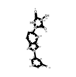 O=c1[nH]n(-c2ccc3nn(-c4cncc(F)c4)cc3n2)c(=O)n1S